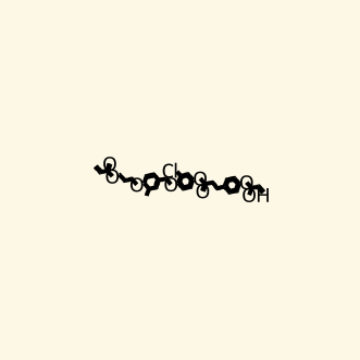 C=CC(=O)OCCCOC1C=CC(COc2ccc(OC(=O)CCc3ccc(OC(O)C=C)cc3)cc2Cl)=CC1C